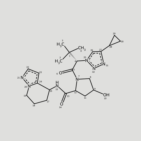 CC(C)(C)[C@@H](C(=O)N1CC(O)CC1C(=O)NC1CCCn2nccc21)n1cc(C2CC2)nn1